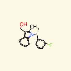 Cc1c(CO)c2ccccc2n1Cc1cccc(F)c1